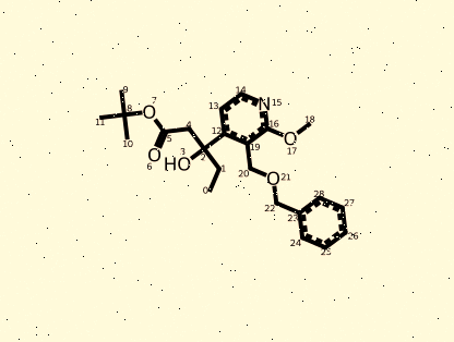 CCC(O)(CC(=O)OC(C)(C)C)c1ccnc(OC)c1COCc1ccccc1